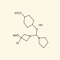 CCOC(=O)C1CCC(OC(N2CCCC2)N2CC(CC)(OC)C2)CC1.Cl